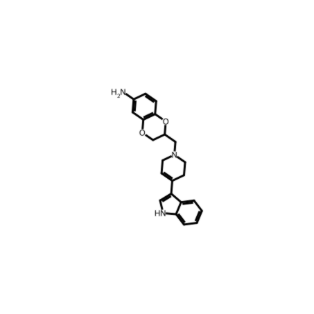 Nc1ccc2c(c1)OCC(CN1CC=C(c3c[nH]c4ccccc34)CC1)O2